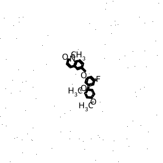 CO[C@H]1CC[C@@](OC)(c2cc(F)cc(OCc3ccc4c(ccc(=O)n4C)c3)c2)CC1